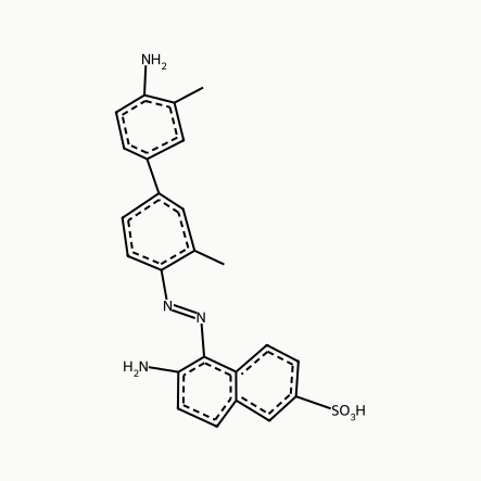 Cc1cc(-c2ccc(/N=N/c3c(N)ccc4cc(S(=O)(=O)O)ccc34)c(C)c2)ccc1N